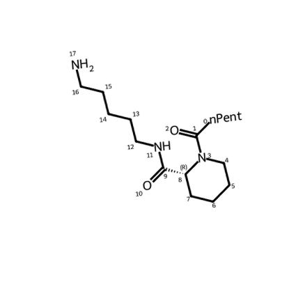 CCCCCC(=O)N1CCCC[C@@H]1C(=O)NCCCCCN